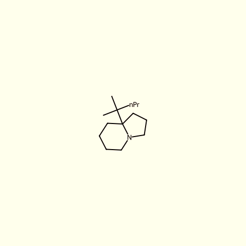 CCCC(C)(C)C12CCCCN1CCC2